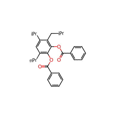 CCCc1cc(C(C)C)c(CC(C)C)c(OC(=O)c2ccccc2)c1OC(=O)c1ccccc1